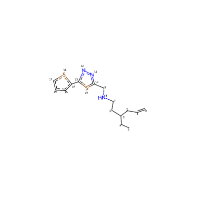 C=CCC(CC)CCNCc1nnc(-c2cccs2)s1